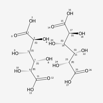 O=C(O)[C@@H](O)[C@@H](O)[C@H](O)[C@@H](O)C(=O)O.O=C(O)[C@@H](O)[C@@H](O)[C@H](O)[C@@H](O)C(=O)O